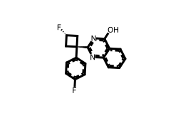 Oc1nc([C@]2(c3ccc(F)cc3)C[C@@H](F)C2)nc2ccccc12